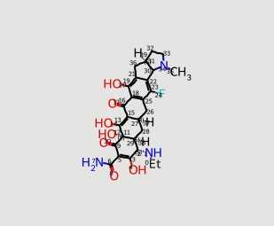 CCN[C@@H]1C(O)=C(C(N)=O)C(=O)[C@@]2(O)C(O)=C3C(=O)c4c(O)c5c(c(F)c4C[C@H]3C[C@@H]12)C1[C@H](CCN1C)C5